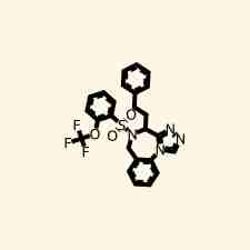 O=S(=O)(c1ccccc1OC(F)(F)F)N1Cc2ccccc2-n2cnnc2C1CCc1ccccc1